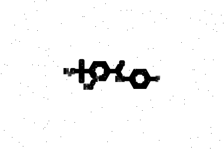 CS(=O)(=O)c1ccc(C(=O)Nc2ccc(F)cc2)c[n+]1O